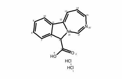 Cl.Cl.O=C(O)C1c2ccccc2C2=CC=CN=C[N+]21